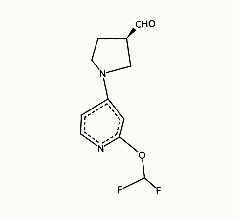 O=C[C@@H]1CCN(c2ccnc(OC(F)F)c2)C1